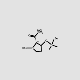 CC(C)(C)N1CCC(O[Si](C)(C)C(C)(C)C)[C@H]1C(N)=O.Cl